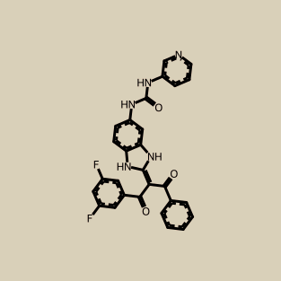 O=C(Nc1cccnc1)Nc1ccc2c(c1)N/C(=C(\C(=O)c1ccccc1)C(=O)c1cc(F)cc(F)c1)N2